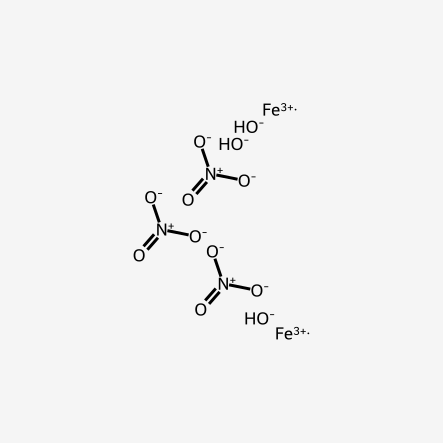 O=[N+]([O-])[O-].O=[N+]([O-])[O-].O=[N+]([O-])[O-].[Fe+3].[Fe+3].[OH-].[OH-].[OH-]